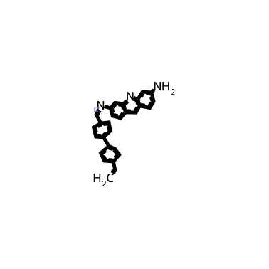 C=Cc1ccc(-c2ccc(/C=N\c3ccc4cc5ccc(N)cc5nc4c3)cc2)cc1